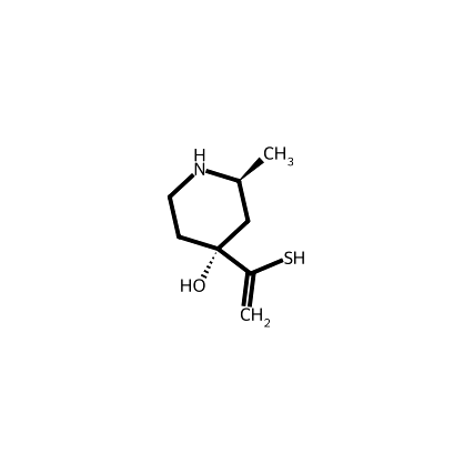 C=C(S)[C@@]1(O)CCN[C@@H](C)C1